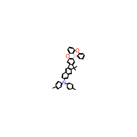 Cc1ccc(N(c2ccc(C)cc2)c2ccc3cc4c(cc3c2)C(C)(C)c2cc3c(cc2-4)Oc2cccc4c2B3c2ccccc2O4)cc1